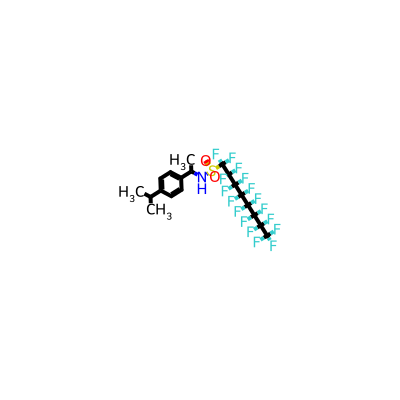 CC(C)c1ccc(C(C)NS(=O)(=O)C(F)(F)C(F)(F)C(F)(F)C(F)(F)C(F)(F)C(F)(F)C(F)(F)C(F)(F)F)cc1